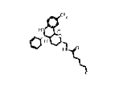 O=C(CCCCCl)NC[C@H]1CC[C@@H]2[C@H](O1)c1cc(C(F)(F)F)ccc1N[C@H]2C1C=CC=CC1